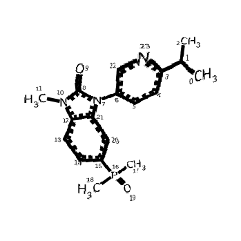 CC(C)c1ccc(-n2c(=O)n(C)c3ccc(P(C)(C)=O)cc32)cn1